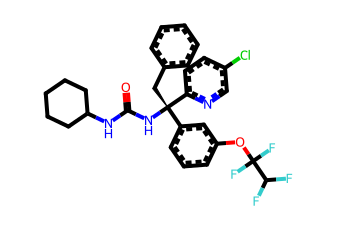 O=C(NC1CCCCC1)N[C@@](Cc1ccccc1)(c1cccc(OC(F)(F)C(F)F)c1)c1ccc(Cl)cn1